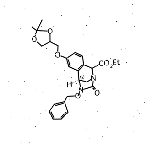 CCOC(=O)C1c2ccc(OCC3COC(C)(C)O3)cc2[C@H]2CN1C(=O)N2OCc1ccccc1